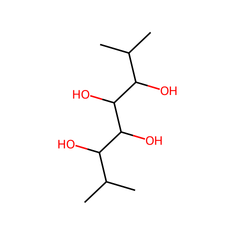 CC(C)C(O)C(O)C(O)C(O)C(C)C